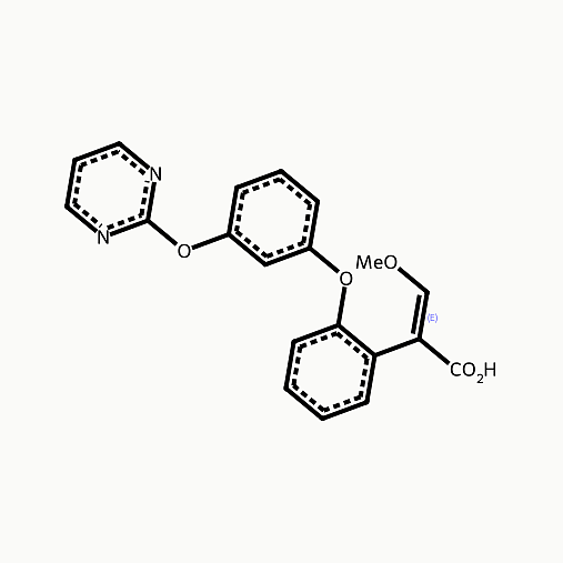 CO/C=C(/C(=O)O)c1ccccc1Oc1cccc(Oc2ncccn2)c1